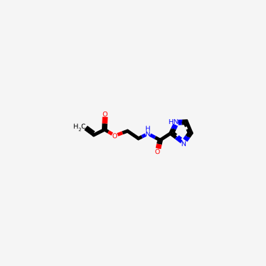 C=CC(=O)OCCNC(=O)c1ncc[nH]1